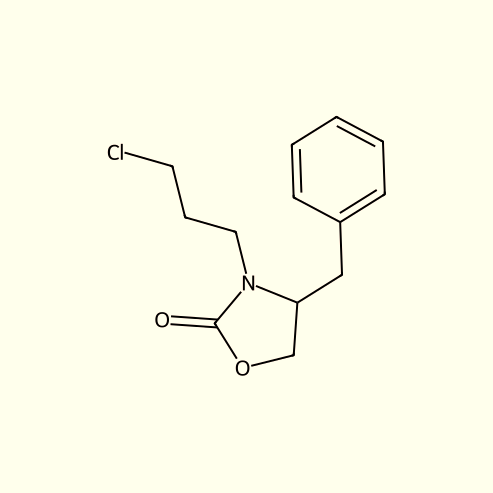 O=C1OCC(Cc2ccccc2)N1CCCCl